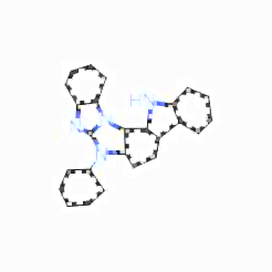 c1ccc(-n2c3ccc4c5ccccc5[nH]c4c3n3c4ccccc4nc23)cc1